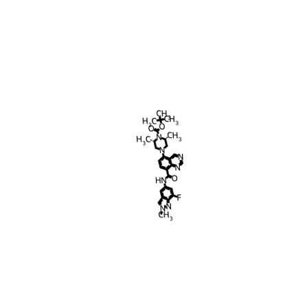 C[C@@H]1CN(c2ccc(C(=O)Nc3cc(F)c4nn(C)cc4c3)c3ncncc23)C[C@H](C)N1C(=O)OC(C)(C)C